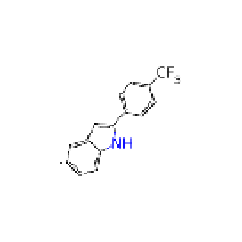 FC(F)(F)c1ccc(-c2cc3c[c]ccc3[nH]2)cc1